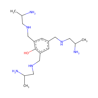 CC(N)CNCc1cc(CNCC(C)N)c(O)c(CNCC(C)N)c1